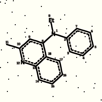 CCN(c1ccccc1)c1cc(C)nc2ccccc12